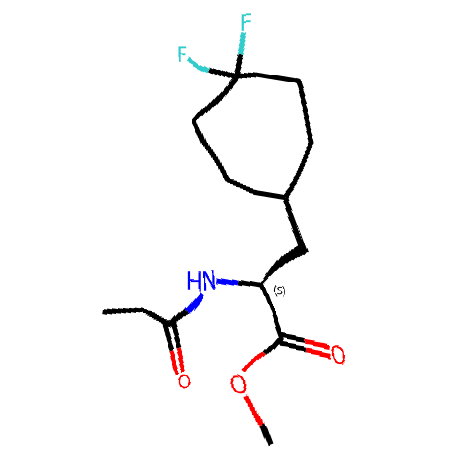 COC(=O)[C@H](CC1CCC(F)(F)CC1)NC(C)=O